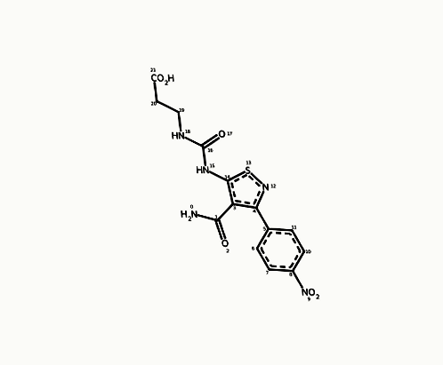 NC(=O)c1c(-c2ccc([N+](=O)[O-])cc2)nsc1NC(=O)NCCC(=O)O